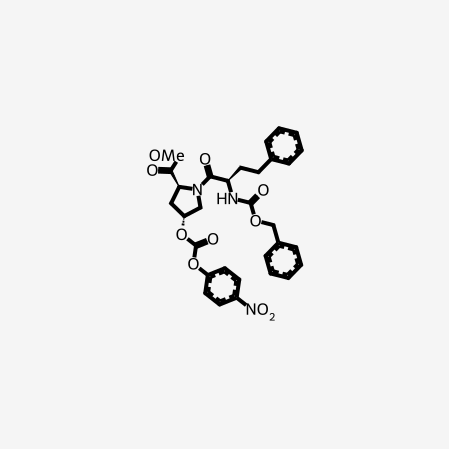 COC(=O)[C@@H]1C[C@@H](OC(=O)Oc2ccc([N+](=O)[O-])cc2)CN1C(=O)[C@@H](CCc1ccccc1)NC(=O)OCc1ccccc1